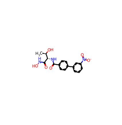 C[C@@H](O)[C@H](NC(=O)c1ccc(-c2cccc([N+](=O)[O-])c2)cc1)C(=O)NO